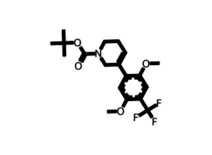 COc1cc(C(F)(F)F)c(OC)cc1C1=CCCN(C(=O)OC(C)(C)C)C1